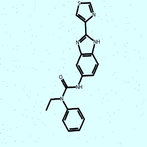 CCN(C(=O)Nc1ccc2[nH]c(-c3cscn3)nc2c1)c1ccccc1